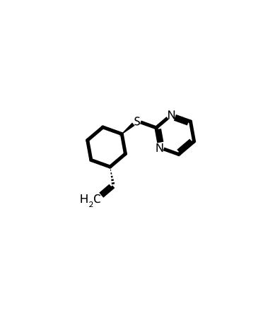 C=C[C@@H]1CCC[C@@H](Sc2ncccn2)C1